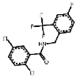 O=C(NCc1ccc(F)cc1C(F)(F)F)c1cc(Cl)ccc1Cl